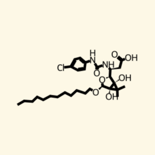 CCCCCCCCCCCCO[C@H]1O[C@H]([C@H](CC(=O)O)NC(=O)Nc2ccc(Cl)cc2)[C@@]2(O)C(C)(C)[C@@]12O